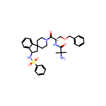 CC(C)(N)C(=O)N[C@H](COCc1ccccc1)C(=O)N1CCC2(CC1)CC(NS(=O)(=O)c1ccccc1)c1ccccc12